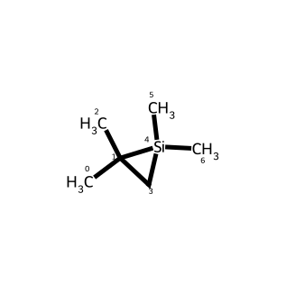 CC1(C)C[Si]1(C)C